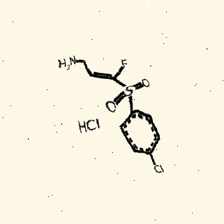 Cl.NCC=C(F)S(=O)(=O)c1ccc(Cl)cc1